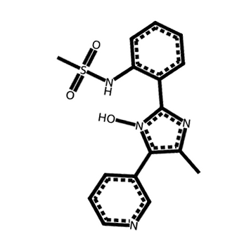 Cc1nc(-c2ccccc2NS(C)(=O)=O)n(O)c1-c1cccnc1